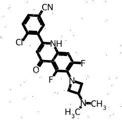 CN(C)C1CN(c2c(F)cc3[nH]c(-c4cc(C#N)ccc4Cl)cc(=O)c3c2F)C1